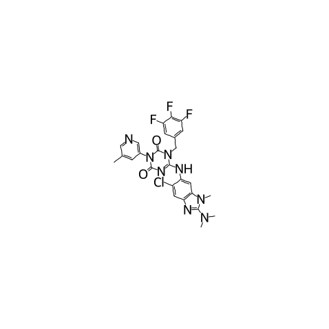 Cc1cncc(-n2c(=O)nc(Nc3cc4c(cc3Cl)nc(N(C)C)n4C)n(Cc3cc(F)c(F)c(F)c3)c2=O)c1